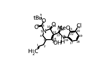 C=CCC1CN(C(=O)OC(C)(C)C)C(=O)C(C(=S)Nc2cccc(Cl)c2OC)=C1O